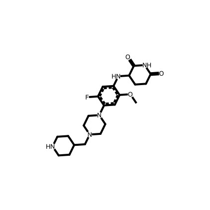 COc1cc(N2CCN(CC3CCNCC3)CC2)c(F)cc1NC1CCC(=O)NC1=O